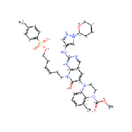 Cc1ccc(S(=O)(=O)OCC/C=C\CCn2c(=O)c(N3CCN(C(=O)OC(C)(C)C)c4c(C)cccc43)cc3cnc(Nc4cnn(C5CCCCO5)c4)nc32)cc1